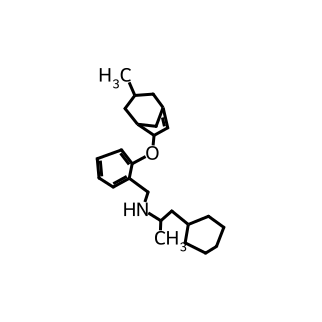 CC1CC2=CC(Oc3ccccc3CNC(C)CC3CCCCC3)C(C2)C1